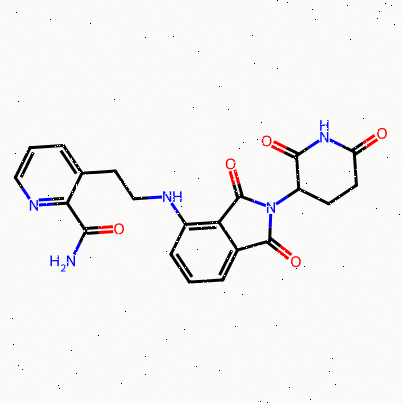 NC(=O)c1ncccc1CCNc1cccc2c1C(=O)N(C1CCC(=O)NC1=O)C2=O